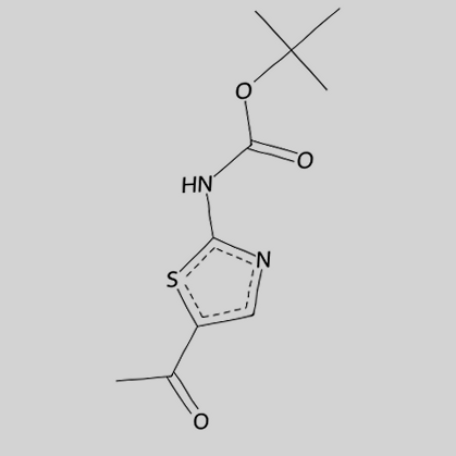 CC(=O)c1cnc(NC(=O)OC(C)(C)C)s1